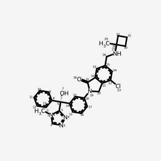 Cn1cnnc1[C@@](O)(c1ccccc1)c1cccc(N2Cc3c(Cl)cc(CNC4(C)CCC4)cc3C2=O)c1